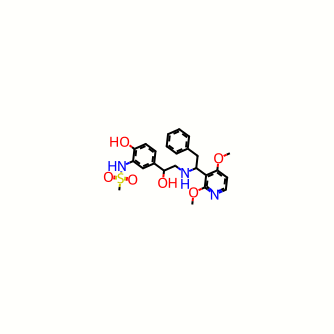 COc1ccnc(OC)c1C(Cc1ccccc1)NCC(O)c1ccc(O)c(NS(C)(=O)=O)c1